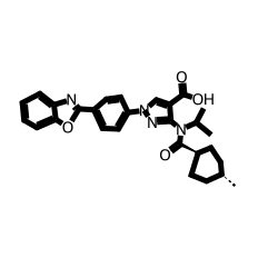 CC(C)N(c1nn(-c2ccc(-c3nc4ccccc4o3)cc2)cc1C(=O)O)C(=O)[C@H]1CC[C@H](C)CC1